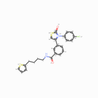 O=C(NCCCCc1cccs1)c1cccc(-c2csc(=O)n2-c2ccc(F)cc2)c1